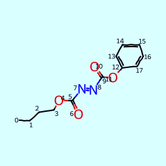 CCCCOC(=O)N=NC(=O)Oc1ccccc1